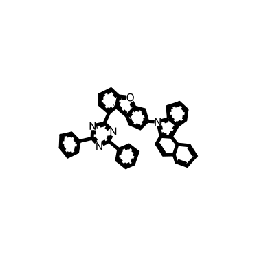 C1=CC2C=Cc3c(c4ccccc4n3-c3ccc4c(c3)oc3cccc(-c5nc(-c6ccccc6)nc(-c6ccccc6)n5)c34)C2C=C1